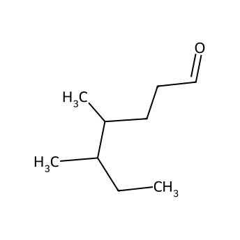 CCC(C)C(C)CCC=O